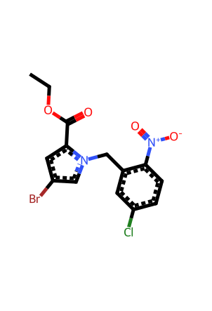 CCOC(=O)c1cc(Br)cn1Cc1cc(Cl)ccc1[N+](=O)[O-]